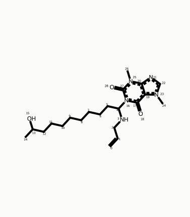 C=CCNC(CCCCCCCCC(C)O)n1c(=O)c2c(ncn2C)n(C)c1=O